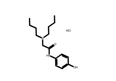 CCCCN(CCCC)CC(=O)Nc1ccc(O)cc1.Cl